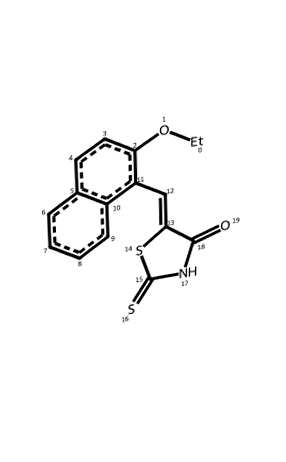 CCOc1ccc2ccccc2c1C=C1SC(=S)NC1=O